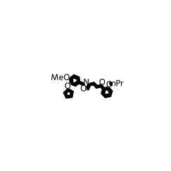 CCCOc1ccccc1C(=O)CCc1coc(-c2ccc(OC)c(OC3CCCC3)c2)n1